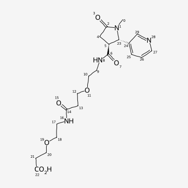 CN1C(=O)C[C@H](C(=O)NCCOCCC(=O)NCCOCCC(=O)O)[C@H]1c1cccnc1